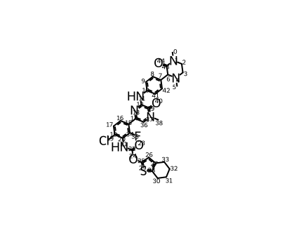 CN1CCN(C)C(c2ccc(Nc3nc(-c4ccc(Cl)c(NC(=O)Oc5cc6c(s5)CCCC6)c4F)cn(C)c3=O)cc2)C1=O